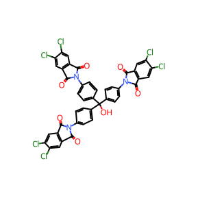 O=C1c2cc(Cl)c(Cl)cc2C(=O)N1c1ccc(C(O)(c2ccc(N3C(=O)c4cc(Cl)c(Cl)cc4C3=O)cc2)c2ccc(N3C(=O)c4cc(Cl)c(Cl)cc4C3=O)cc2)cc1